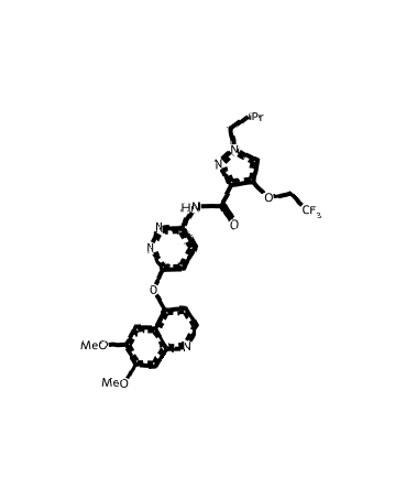 COc1cc2nccc(Oc3ccc(NC(=O)c4nn(CC(C)C)cc4OCC(F)(F)F)nn3)c2cc1OC